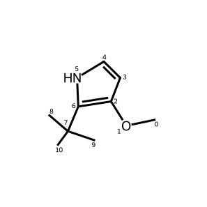 COc1cc[nH]c1C(C)(C)C